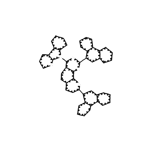 c1ccc2c(c1)cc(-c1ccc3ccc4c(-n5c6ccccc6c6cccnc65)nc(-c5cc6ccccc6c6ccccc56)nc4c3n1)c1ccccc12